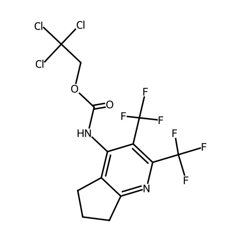 O=C(Nc1c2c(nc(C(F)(F)F)c1C(F)(F)F)CCC2)OCC(Cl)(Cl)Cl